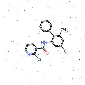 Cc1cc(Cl)cc(NC(=O)c2cccnc2Cl)c1-c1ccccc1